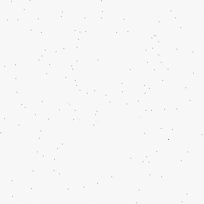 N#CC(=C1CCN(C(=O)n2ccnc2)CC1)c1ccc(F)c(F)c1